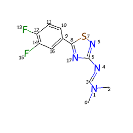 CN(C)C=Nc1nsc(-c2ccc(F)c(F)c2)n1